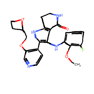 COc1c(F)cccc1Nc1c(-c2ccncc2OCC2CCO2)[nH]c2c1C(=O)NCC2